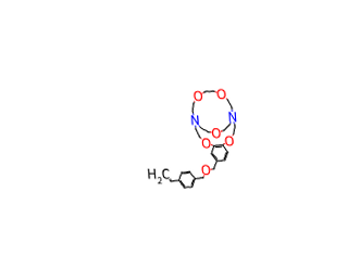 C=Cc1ccc(COCc2ccc3c(c2)OCCN2CCOCCOCCN(CCOCC2)CCO3)cc1